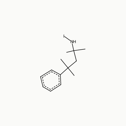 CC(C)(CC(C)(C)c1ccccc1)NI